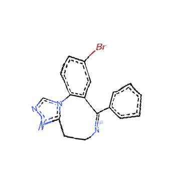 Brc1ccc2c(c1)/C(c1ccccc1)=N\CCc1nncn1-2